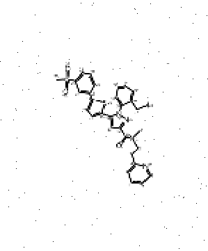 CN(CCc1ccccn1)C(=O)c1cc(-c2ccc(-c3cccc(S(C)(=O)=O)c3)s2)n(-c2ccccc2CI)n1